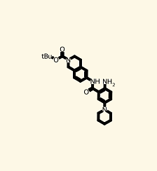 CC(C)(C)OC(=O)N1CCc2cc(NC(=O)c3cc(N4CCCCC4)ccc3N)ccc2C1